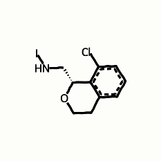 Clc1cccc2c1[C@@H](CNI)OCC2